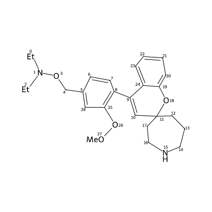 CCN(CC)OCc1ccc(C2=CC3(CCCNCC3)Oc3ccccc32)c(OOC)c1